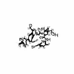 Cc1ncc(-c2cc(C)c3c(c2)c(C=O)nn3CC(=O)N2[C@H](C(=O)Nc3nc(Br)ccc3C)C[C@@]3(CO)C[C@@H]23)cn1